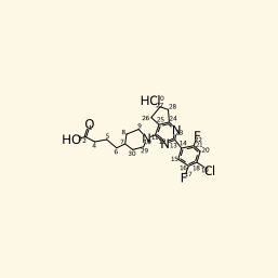 Cl.O=C(O)CCCC1CCN(c2nc(-c3cc(F)c(Cl)cc3F)nc3c2CCC3)CC1